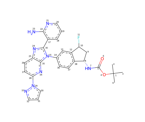 CC(C)(C)OC(=O)N[C@H]1CC(F)c2cc(-n3c(-c4cccnc4N)nc4ccc(-n5cccn5)nc43)ccc21